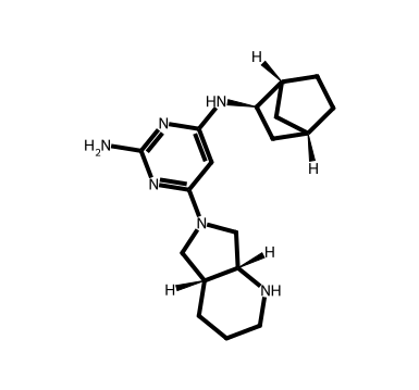 Nc1nc(N[C@@H]2C[C@H]3CC[C@@H]2C3)cc(N2C[C@H]3CCCN[C@H]3C2)n1